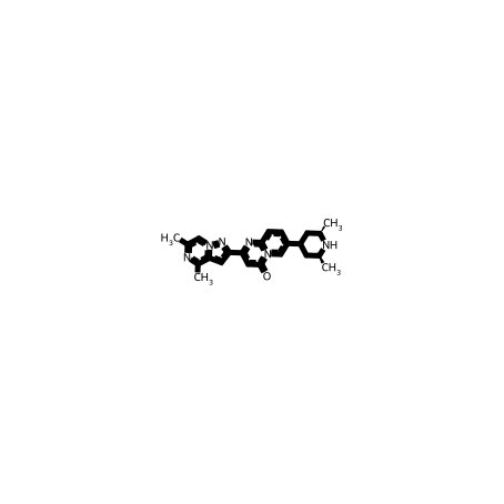 Cc1cn2nc(-c3cc(=O)n4cc(C5C[C@H](C)N[C@@H](C)C5)ccc4n3)cc2c(C)n1